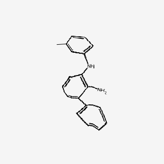 Cc1cccc(Nc2cccc(-c3ccccc3)c2N)c1